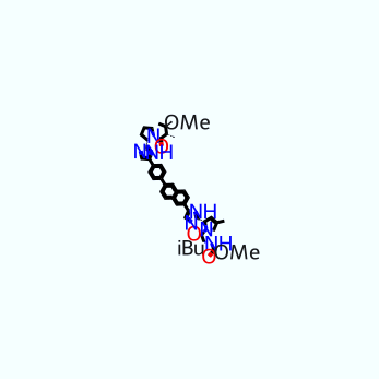 CC[C@H](C)[C@H](NC(=O)OC)C(=O)N1CC(C)=C[C@H]1c1ncc(-c2ccc3cc(-c4ccc(-c5cnc([C@@H]6CCCN6C(=O)[C@@H](C)[C@@H](C)OC)[nH]5)cc4)ccc3c2)[nH]1